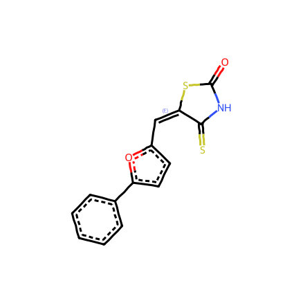 O=C1NC(=S)/C(=C\c2ccc(-c3ccccc3)o2)S1